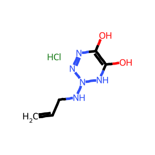 C=CCNN1N=NC(O)=C(O)N1.Cl